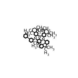 Cc1cc2c3c(c1)N(c1cccc4c1-c1ccccc1C4(C)C)c1cc4c(cc1B3c1cc3c(cc1N2c1cc(-c2ccccc2)ccc1C)C(C)(C)CCC3(C)C)C(C)(C)CCC4(C)C